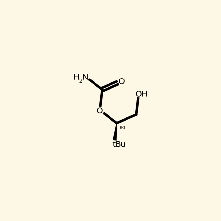 CC(C)(C)[C@H](CO)OC(N)=O